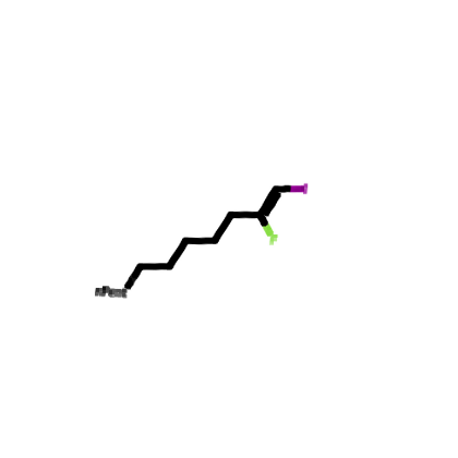 CCCCCCCCCC/C(F)=C/I